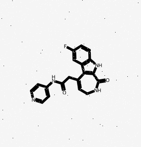 O=C(CC1=CCNC(=O)c2[nH]c3ccc(F)cc3c21)Nc1ccncc1